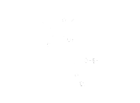 CCOc1c(NCCCP(=O)(OCC)OCC)c(=O)c1=O